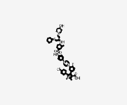 Cc1cc(S(=O)(=O)Nc2ccc(N3CCN(c4cc(-c5c(C(=O)O)c(C)n(C)c5-c5ccc(Cl)cc5)ccc4F)CC3)cc2)ccc1N[C@H](CCN1CCC(O)CC1)CSc1ccccc1